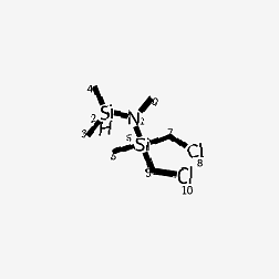 CN([SiH](C)C)[Si](C)(CCl)CCl